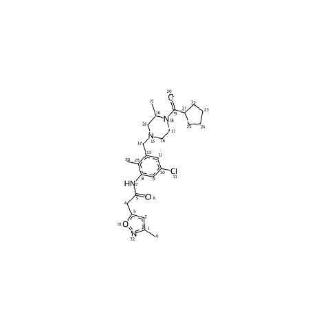 Cc1cc(CC(=O)Nc2cc(Cl)cc(CN3CCN(C(=O)C4CCCC4)C(C)C3)c2C)on1